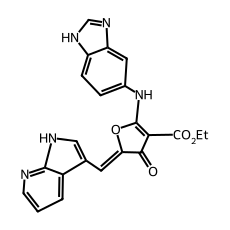 CCOC(=O)C1=C(Nc2ccc3[nH]cnc3c2)O/C(=C\c2c[nH]c3ncccc23)C1=O